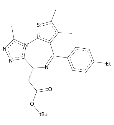 CCc1ccc(C2=N[C@H](CC(=O)OC(C)(C)C)c3nnc(C)n3-c3sc(C)c(C)c32)cc1